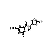 O=C(Nc1csc(C(F)(F)F)n1)c1cc(O)cc(F)c1